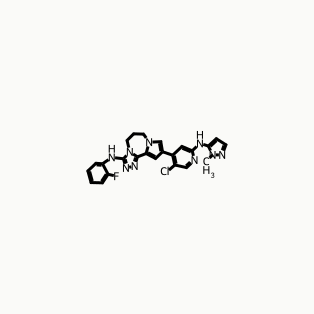 Cn1nccc1Nc1cc(-c2cc3n(c2)CCCn2c(Nc4ccccc4F)nnc2-3)c(Cl)cn1